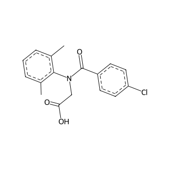 Cc1cccc(C)c1N(CC(=O)O)C(=O)c1ccc(Cl)cc1